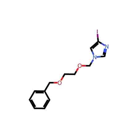 Ic1cn(COCCOCc2ccccc2)cn1